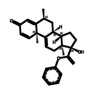 C=C(Oc1ccccc1)[C@@]1(O)CC[C@H]2[C@@H]3C[C@H](C)C4=CC(=O)C=C[C@]4(C)C3=CC[C@@]21C